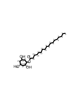 CCCCCCCCCCCCCCCCCC(=O)O[C@@H]1CC(O)C[C@H](O)C[C@@H]1O